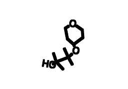 CC(C)(O)C(C)(C)OC1CCOCC1